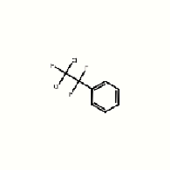 FC(Cl)(Cl)C(F)(F)c1ccccc1